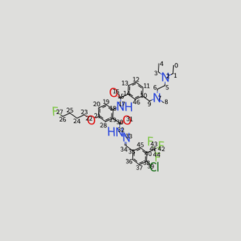 CCN(CC)CCN(C)Cc1cccc(C(=O)Nc2ccc(OCCCCF)cc2C(=O)NN=Cc2ccc(Cl)c(C(F)(F)F)c2)c1